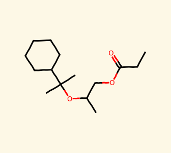 CCC(=O)OCC(C)OC(C)(C)C1CCCCC1